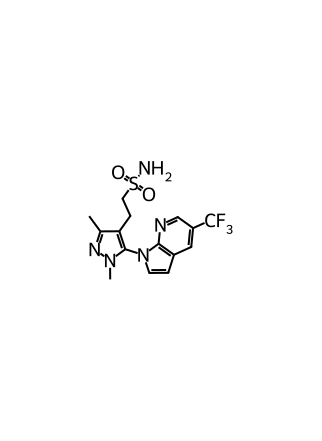 Cc1nn(C)c(-n2ccc3cc(C(F)(F)F)cnc32)c1CCS(N)(=O)=O